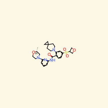 C[C@@H]1CN(c2cccc(NC(=O)c3ccc(S(=O)(=O)C4COC4)cc3N3CCC4(CC3)CC4)n2)CCO1